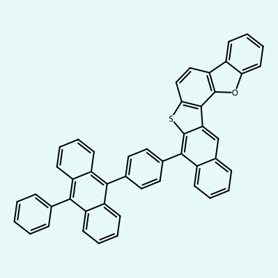 c1ccc(-c2c3ccccc3c(-c3ccc(-c4c5ccccc5cc5c4sc4ccc6c7ccccc7oc6c45)cc3)c3ccccc23)cc1